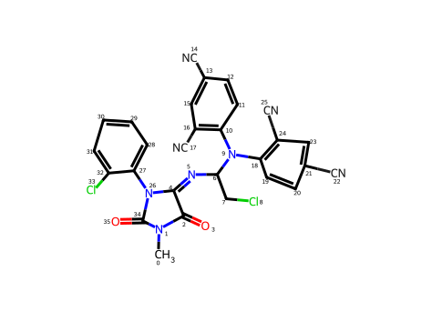 CN1C(=O)C(=NC(CCl)N(c2ccc(C#N)cc2C#N)c2ccc(C#N)cc2C#N)N(c2ccccc2Cl)C1=O